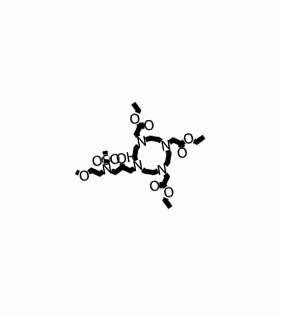 CCOC(=O)CN1CCN(CC(=O)OCC)CCN(CC(O)CN(CCOC)S(C)(=O)=O)CCN(CC(=O)OCC)CC1